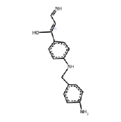 N=C/C=C(\O)c1ccc(NCc2ccc(N)cc2)cc1